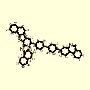 c1ccc2c(c1)cnc1cc(-c3ccc(-c4ccc(-c5cc6c7ccc8ccccc8c7sc6c6nc7c8ccccc8ccc7n56)cc4)cc3)ccc12